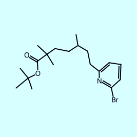 CC(CCc1cccc(Br)n1)CCC(C)(C)C(=O)OC(C)(C)C